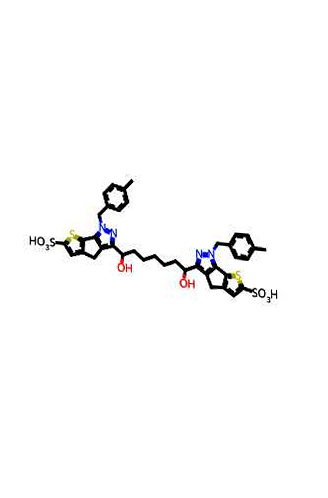 Cc1ccc(Cn2nc(C(O)CCCCCC(O)c3nn(Cc4ccc(C)cc4)c4c3Cc3cc(S(=O)(=O)O)sc3-4)c3c2-c2sc(S(=O)(=O)O)cc2C3)cc1